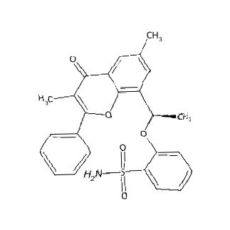 Cc1cc([C@@H](C)Oc2ccccc2S(N)(=O)=O)c2oc(-c3ccccc3)c(C)c(=O)c2c1